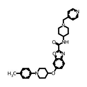 Cc1ccc(N2CCC(Oc3ccc4nc(C(=O)NC5CCN(Cc6ccncc6)CC5)oc4c3)CC2)cc1